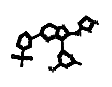 Cc1nc(N)cc(-c2c(Nc3cc[nH]n3)nc3ccc(-c4cccc(S(C)(=O)=O)c4)nn23)n1